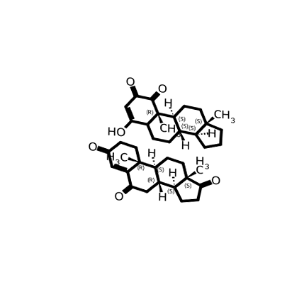 C[C@@]12CCC[C@H]1[C@@H]1CCC3C(O)=CC(=O)C(=O)[C@]3(C)[C@H]1CC2.C[C@]12CCC(=O)C=C1C(=O)C[C@@H]1[C@@H]2CC[C@]2(C)C(=O)CC[C@@H]12